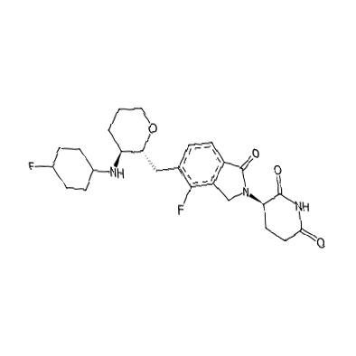 O=C1CC[C@@H](N2Cc3c(ccc(C[C@H]4OCCC[C@@H]4NC4CCC(F)CC4)c3F)C2=O)C(=O)N1